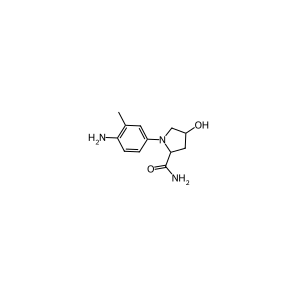 Cc1cc(N2CC(O)CC2C(N)=O)ccc1N